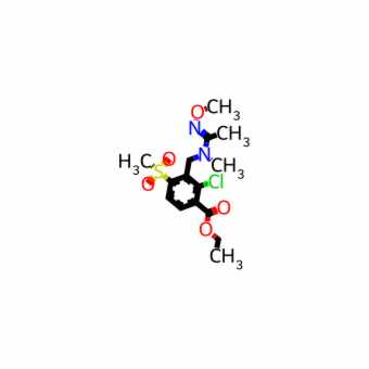 CCOC(=O)c1ccc(S(C)(=O)=O)c(CN(C)C(C)=NOC)c1Cl